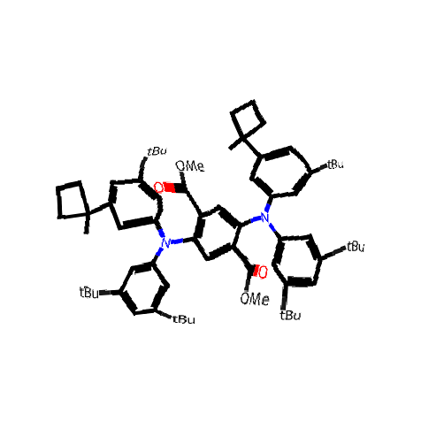 COC(=O)c1cc(N(c2cc(C(C)(C)C)cc(C(C)(C)C)c2)c2cc(C(C)(C)C)cc(C3(C)CCC3)c2)c(C(=O)OC)cc1N(c1cc(C(C)(C)C)cc(C(C)(C)C)c1)c1cc(C(C)(C)C)cc(C2(C)CCC2)c1